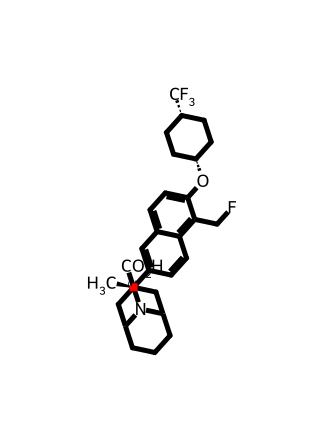 C[C@@H](c1ccc2c(CF)c(O[C@H]3CC[C@@H](C(F)(F)F)CC3)ccc2c1)N1C2CCCC1CC(C(=O)O)C2